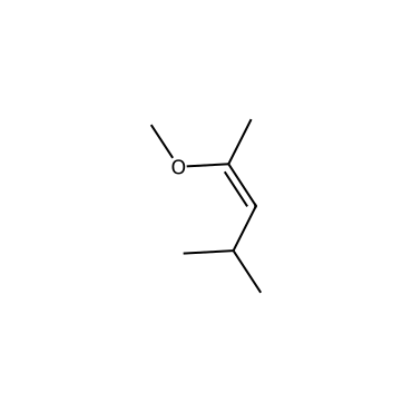 CO/C(C)=C\C(C)C